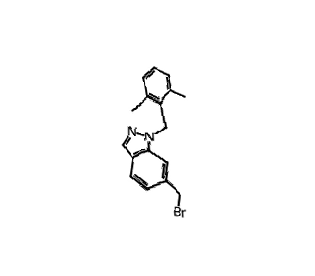 Cc1cccc(C)c1Cn1ncc2ccc(CBr)cc21